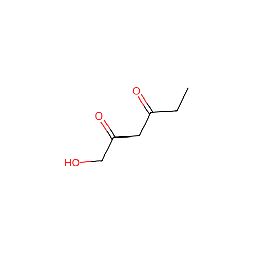 CCC(=O)CC(=O)CO